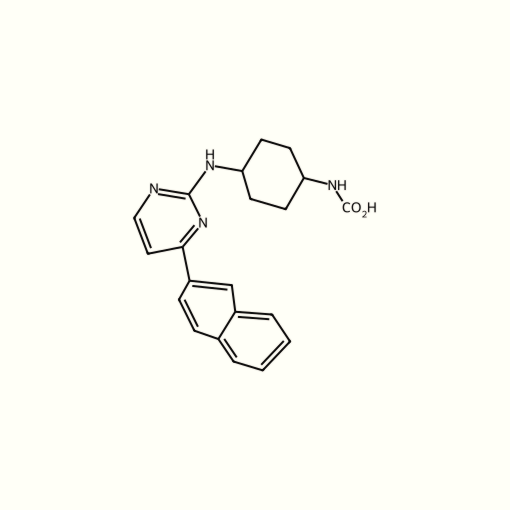 O=C(O)NC1CCC(Nc2nccc(-c3ccc4ccccc4c3)n2)CC1